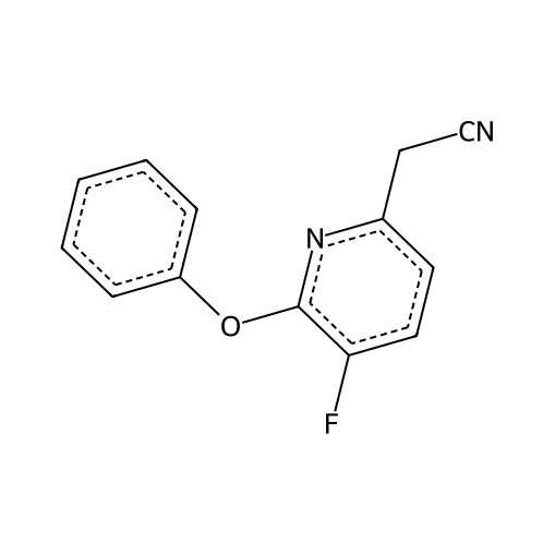 N#CCc1ccc(F)c(Oc2ccccc2)n1